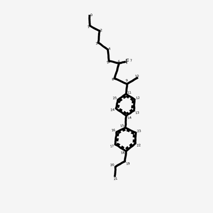 CCCCC[CH]C(F)CC(C)c1ccc(-c2ccc(CCC)cc2)cc1